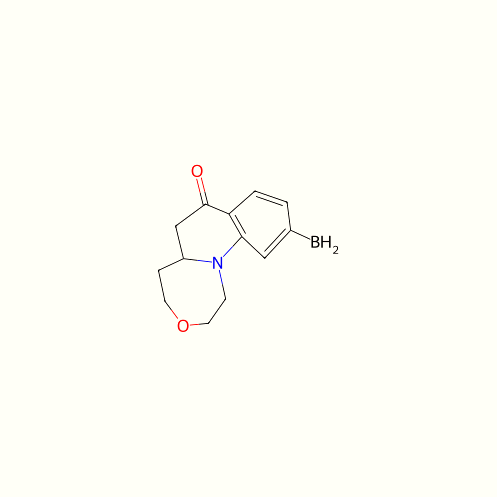 Bc1ccc2c(c1)N1CCOCCC1CC2=O